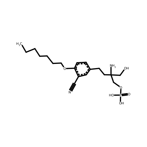 CCCCCCCOc1ccc(CCC(N)(CO)COP(=O)(O)O)cc1C#N